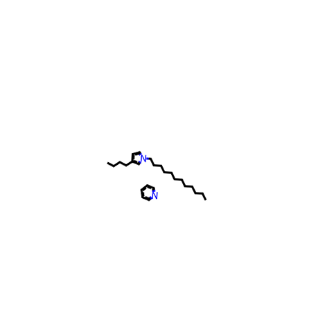 CCCCCCCCCCCCn1ccc(CCCC)c1.c1ccncc1